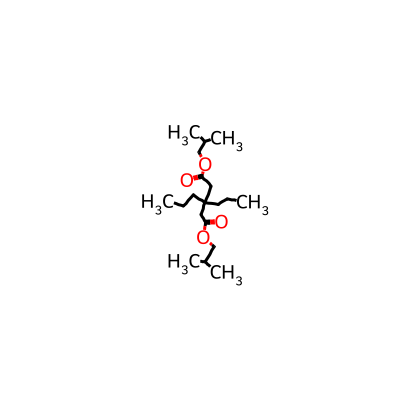 CCCC(CCC)(CC(=O)OCC(C)C)CC(=O)OCC(C)C